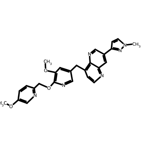 COc1ccc(COc2ncc(Cc3ccnc4cc(-c5ccn(C)n5)cnc34)cc2OC)nc1